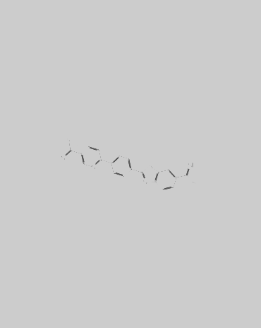 N=C(N)c1ccc(-c2ccc(-c3nc4ccc(C(=N)N)cc4[nH]3)cc2)nc1